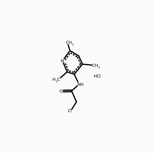 Cc1cc(C)c(NC(=O)CCl)c(C)n1.Cl